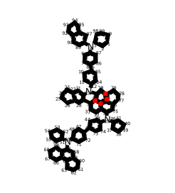 c1ccc(N(c2ccc(-c3ccc(N(c4ccccc4)c4cc5ccccc5cc4-c4ccc5c(N(c6ccccc6)c6ccc(-c7ccc(N(c8ccccc8)c8cc9ccccc9c9ccccc89)cc7)cc6)cc6ccccc6c5c4)cc3)cc2)c2ccc3ccccc3c2)cc1